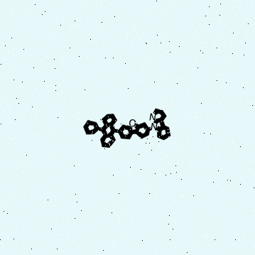 c1ccc(-c2c3ccccc3c(-c3ccc4c(c3)oc3cc(-n5c6ccccc6c6cccnc65)ccc34)c3ccccc23)cc1